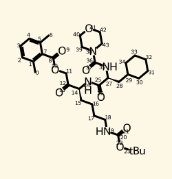 Cc1cccc(C)c1C(=O)OCC(=O)[C@H](CCCCNC(=O)OC(C)(C)C)NC(=O)[C@H](CC1CCCCC1)NC(=O)N1CCOCC1